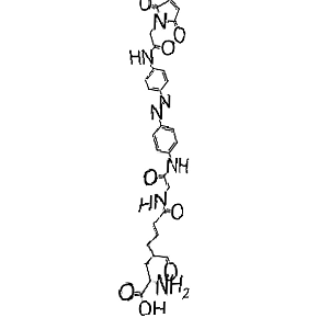 N[C@@H](C[C@H](C=O)CCCC(=O)NCC(=O)Nc1ccc(/N=N/c2ccc(NC(=O)CN3C(=O)C=CC3=O)cc2)cc1)C(=O)O